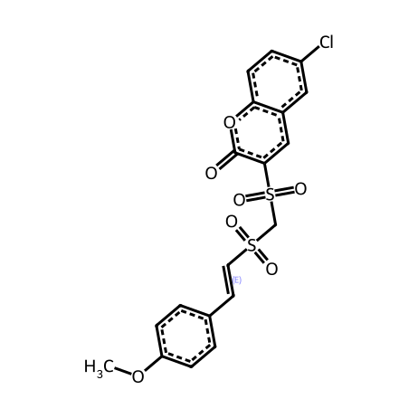 COc1ccc(/C=C/S(=O)(=O)CS(=O)(=O)c2cc3cc(Cl)ccc3oc2=O)cc1